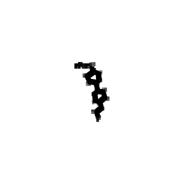 CCCCCc1ccc(-c2ccc(C=CF)cc2)cc1